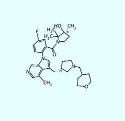 Cc1cncc2c1c(C[C@@H]1CCN(CC3CCOCC3)C1)cn2-c1ccc(F)cc1C(=O)N1CC[C@](C)(O)C1(C)C